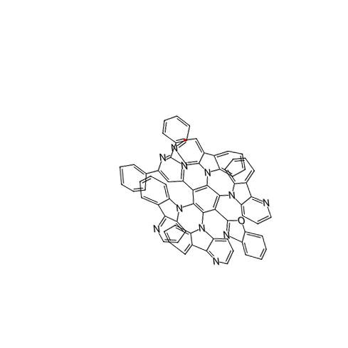 c1ccc(-c2cc(-c3c(-n4c5ccccc5c5ccncc54)c(-n4c5ccccc5c5ncccc54)c(-c4nc5ccccc5o4)c(-n4c5ccccc5c5ncccc54)c3-n3c4ccccc4c4ncccc43)nc(-c3ccccc3)n2)cc1